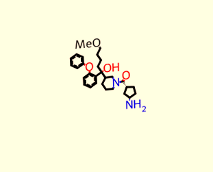 COCCCC[C@@](O)(c1ccccc1Oc1ccccc1)C1CCCN(C(=O)[C@@H]2CC[C@H](N)C2)C1